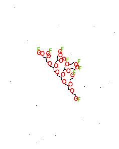 FOCCOCC(COCC(COCC(COCC(COOF)OOF)OCC(COOF)OOF)OCC(COCCOF)OCCOF)OCCOF